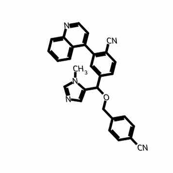 Cn1cncc1C(OCc1ccc(C#N)cc1)c1ccc(C#N)c(-c2ccnc3ccccc23)c1